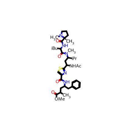 CCC(C)C(NC(=O)[C@@]1(C)CCCN1C)C(=O)N(C)C(CC(NC(C)=O)c1nc(C(=O)NC(Cc2ccccc2)CC(C)C(=O)OC)cs1)C(C)C